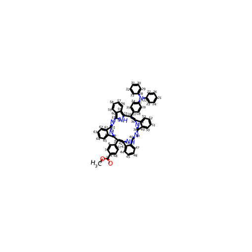 COC(=O)c1ccc(-c2c3nc(nc4[nH]c(c(-c5ccc(N(c6ccccc6)c6ccccc6)cc5)c5nc(nc6[nH]c2c2ccccc62)-c2ccccc2-5)c2ccccc42)-c2ccccc2-3)cc1